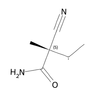 C[CH][C@@](C)(C#N)C(N)=O